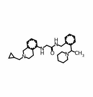 CC(c1ccccc1CNC(=O)CNc1cccc2c1CCN(CC1CC1)C2)N1CCCCC1